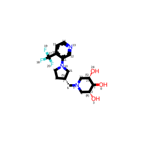 OC1[C@H](O)CN(C[C@@H]2CCN(c3cnccc3C(F)(F)F)C2)C[C@@H]1O